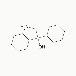 NCC(O)(C1CCCCC1)C1CCCCC1